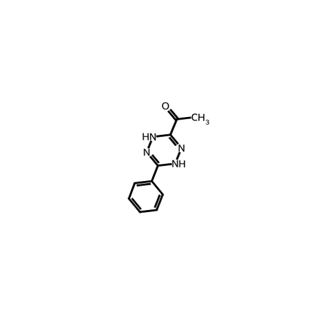 CC(=O)C1=NNC(c2ccccc2)=NN1